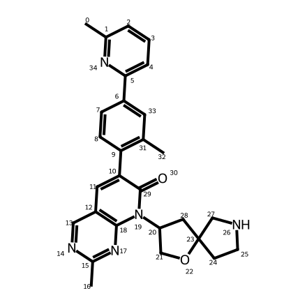 Cc1cccc(-c2ccc(-c3cc4cnc(C)nc4n(C4COC5(CCNC5)C4)c3=O)c(C)c2)n1